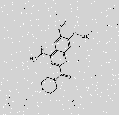 COc1cc2nc(C(=O)N3CCOCC3)nc(NN)c2cc1OC